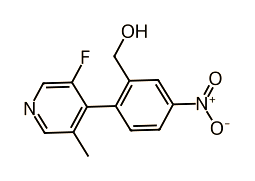 Cc1cncc(F)c1-c1ccc([N+](=O)[O-])cc1CO